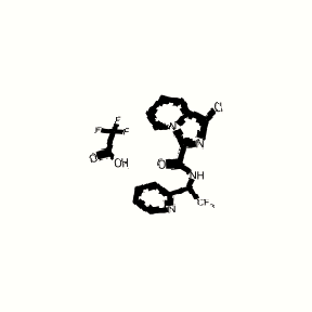 O=C(NC(c1ccccn1)C(F)(F)F)c1nc(Cl)c2ccccn12.O=C(O)C(F)(F)F